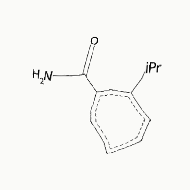 CC(C)c1ccccc1C(N)=O